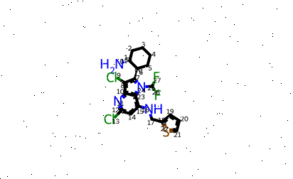 N[C@@H]1CCCC[C@H]1c1c(Cl)c2nc(Cl)cc(NCc3cccs3)c2n1C(F)F